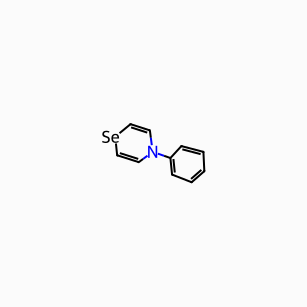 C1=CN(c2ccccc2)C=C[Se]1